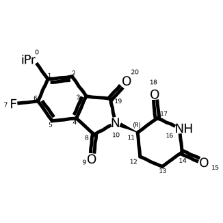 CC(C)c1cc2c(cc1F)C(=O)N([C@@H]1CCC(=O)NC1=O)C2=O